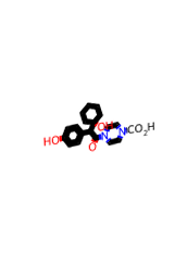 O=C(O)N1CCN(C(=O)C(c2ccc(O)cc2)C2(O)CCCCC2)CC1